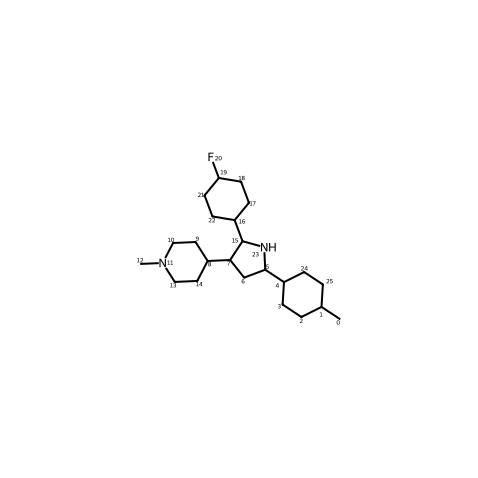 CC1CCC(C2CC(C3CCN(C)CC3)C(C3CCC(F)CC3)N2)CC1